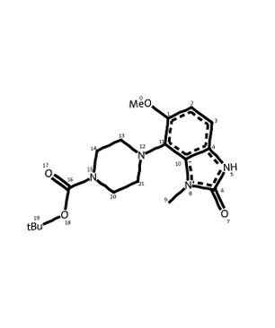 COc1ccc2[nH]c(=O)n(C)c2c1N1CCN(C(=O)OC(C)(C)C)CC1